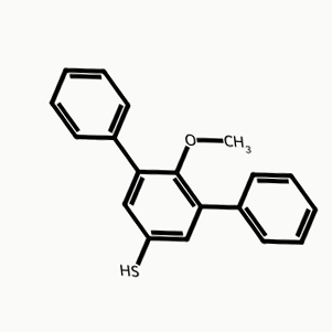 COc1c(-c2ccccc2)cc(S)cc1-c1ccccc1